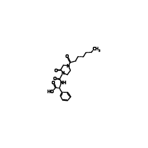 CCCCCCC(=O)N1CCN(C(=O)NC(C(=O)O)c2ccccc2)C(=O)C1